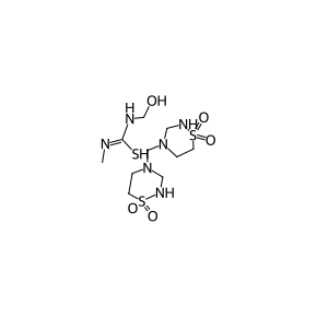 CN=C(S)NCO.O=S1(=O)CCN(CN2CCS(=O)(=O)NC2)CN1